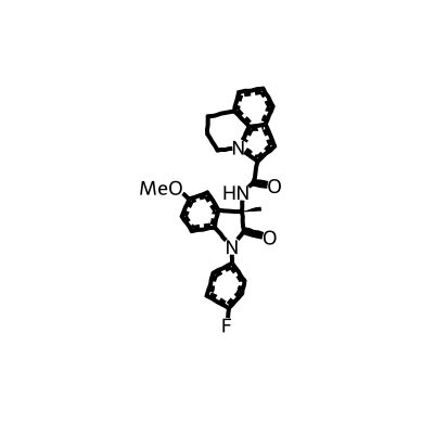 COc1ccc2c(c1)[C@](C)(NC(=O)c1cc3cccc4c3n1CCC4)C(=O)N2c1ccc(F)cc1